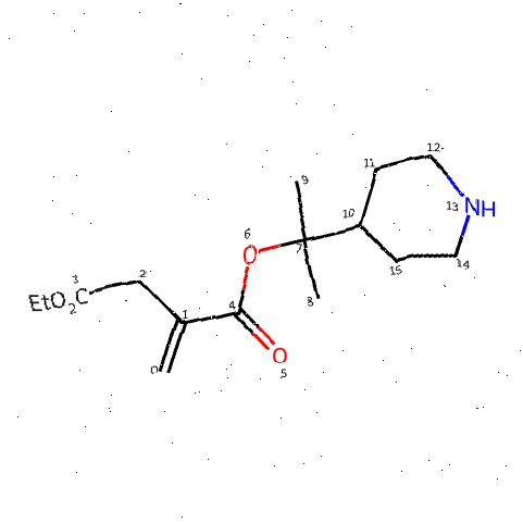 C=C(CC(=O)OCC)C(=O)OC(C)(C)C1CCNCC1